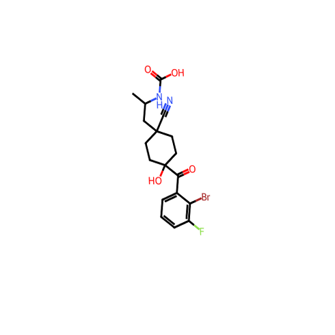 CC(CC1(C#N)CCC(O)(C(=O)c2cccc(F)c2Br)CC1)NC(=O)O